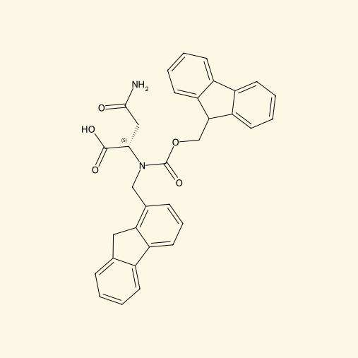 NC(=O)C[C@@H](C(=O)O)N(Cc1cccc2c1Cc1ccccc1-2)C(=O)OCC1c2ccccc2-c2ccccc21